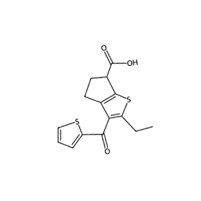 CCc1sc2c(c1C(=O)c1cccs1)CCC2C(=O)O